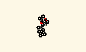 c1ccc(N(c2ccc3c(c2)Oc2ccccc2[Si]32c3ccccc3[Si](c3ccccc3)(c3ccccc3)c3ccccc32)c2ccc3c(c2)C(c2ccccc2)(c2ccccc2)c2ccccc2-3)cc1